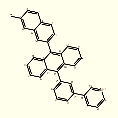 Cc1ccc2ccc(-c3c4ccccc4c(-c4cccc(-c5cccnc5)c4)c4ccccc34)cc2c1